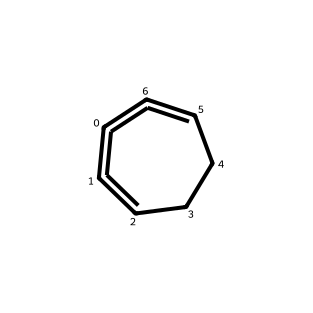 C1=C=CCCC=C=1